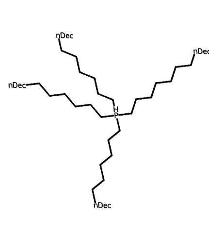 CCCCCCCCCCCCCCCCC[PH](CCCCCCCCCCCCCCCC)(CCCCCCCCCCCCCCCC)CCCCCCCCCCCCCCCC